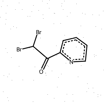 O=C(c1ccccn1)C(Br)Br